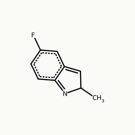 C[C]1C=c2cc(F)ccc2=N1